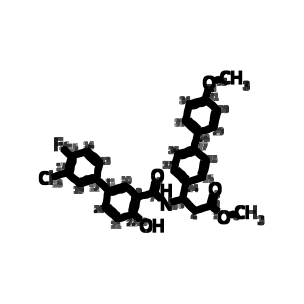 COC(=O)CC(NC(=O)c1cc(-c2ccc(F)c(Cl)c2)ccc1O)c1ccc(-c2ccc(OC)cc2)cc1